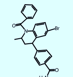 CC1CC(c2ccc(C(N)=O)cc2)c2cc(Br)ccc2N1C(=O)c1ccccc1